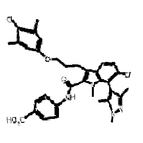 Cc1cc(OCCCc2c(C(=O)Nc3ccc(C(=O)O)cc3)n(C)c3c(-c4c(C)nn(C)c4C)c(Cl)ccc23)cc(C)c1Cl